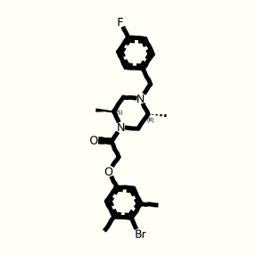 Cc1cc(OCC(=O)N2C[C@@H](C)N(Cc3ccc(F)cc3)C[C@@H]2C)cc(C)c1Br